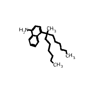 CCCCCCC(C)(CCCCCC)c1ccc(N)c2ccccc12